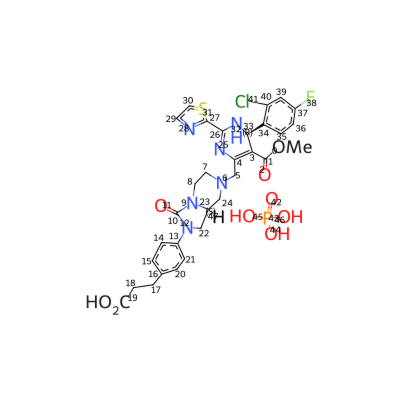 COC(=O)C1=C(CN2CCN3C(=O)N(c4ccc(CCC(=O)O)cc4)C[C@@H]3C2)N=C(c2nccs2)N[C@H]1c1ccc(F)cc1Cl.O=P(O)(O)O